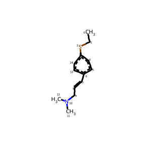 CCSc1ccc(C=CCN(C)C)cc1